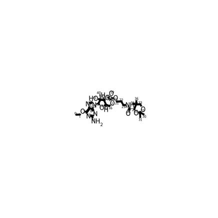 CCOc1nc(N)nc2c1ncn2[C@@H]1O[C@@H]2COP(=O)(OCCCNC(=O)[C@H]3OC(C)(C)OCC3(C)C)O[C@H]2[C@@]1(C)O